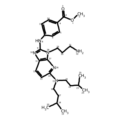 COC(=O)c1ccc(Nc2nc3ccc(N(CCC(C)C)CCC(C)C)nc3n2CCCN)cc1